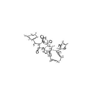 CN1C(=O)C(Cc2ccccc2)N(C)C(=O)C1=Cc1ccccc1-c1nccs1